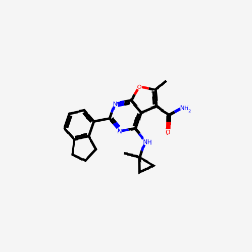 Cc1oc2nc(-c3cccc4c3CCC4)nc(NC3(C)CC3)c2c1C(N)=O